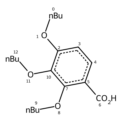 CCCCOc1ccc(C(=O)O)c(OCCCC)c1OCCCC